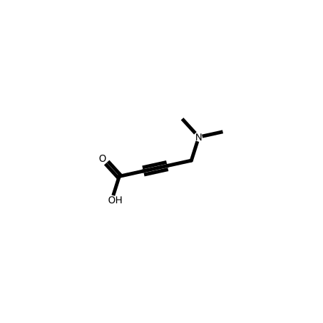 CN(C)CC#CC(=O)O